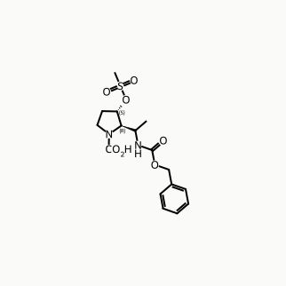 CC(NC(=O)OCc1ccccc1)[C@@H]1[C@@H](OS(C)(=O)=O)CCN1C(=O)O